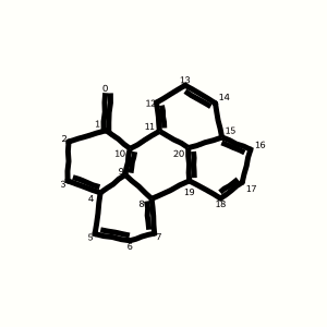 C=C1CC=c2cccc3c2c1c1cccc2cccc3c21